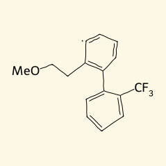 COCCc1[c]cccc1-c1ccccc1C(F)(F)F